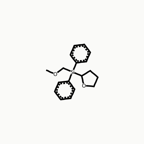 COC[Si](c1ccccc1)(c1ccccc1)C1CCCO1